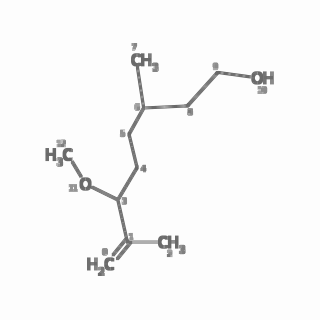 C=C(C)C(CCC(C)CCO)OC